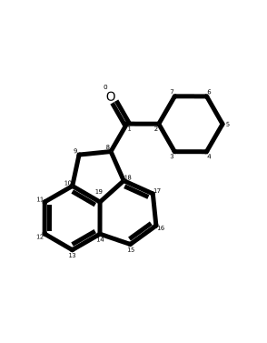 O=C(C1CCCCC1)C1Cc2cccc3cccc1c23